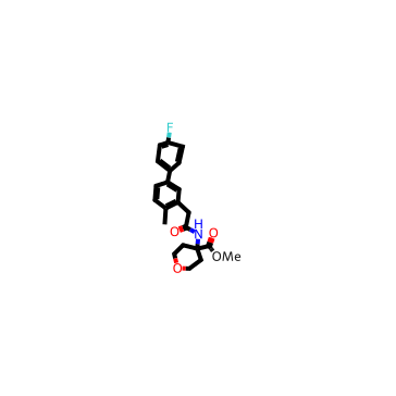 COC(=O)C1(NC(=O)Cc2cc(-c3ccc(F)cc3)ccc2C)CCOCC1